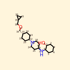 O[C@@H]1CCCC[C@H]1NC1CCN([C@H]2CC[C@@H](COCC3CC3)CC2)CC1